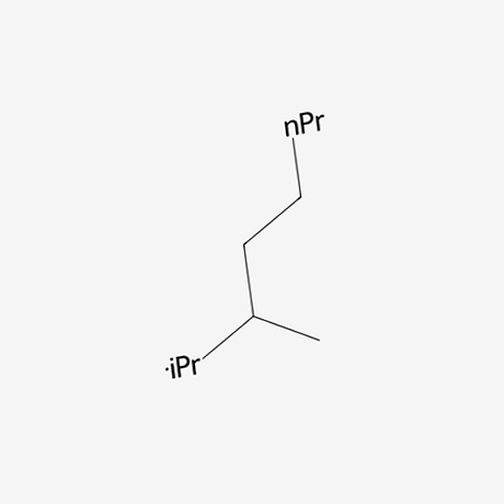 CCCCCC(C)[C](C)C